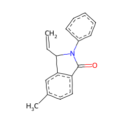 C=CC1c2cc(C)ccc2C(=O)N1c1ccccc1